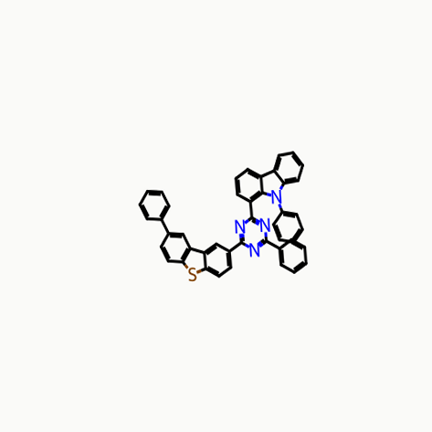 c1ccc(-c2ccc3sc4ccc(-c5nc(-c6ccccc6)nc(-c6cccc7c8ccccc8n(-c8ccccc8)c67)n5)cc4c3c2)cc1